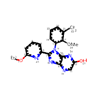 CCOc1cccc(-c2nc3ncc(O)nc3n2-c2cccc(C(F)(F)F)c2OC)n1